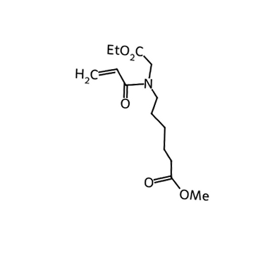 C=CC(=O)N(CCCCCC(=O)OC)CC(=O)OCC